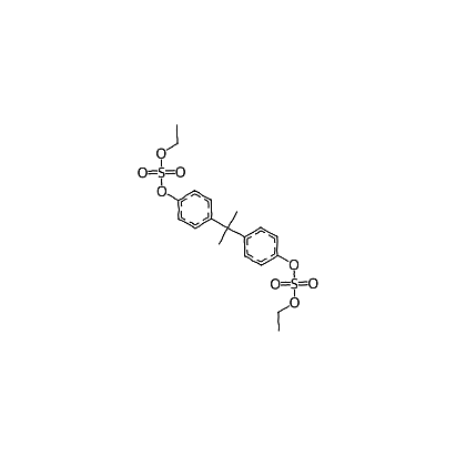 CCOS(=O)(=O)Oc1ccc(C(C)(C)c2ccc(OS(=O)(=O)OCC)cc2)cc1